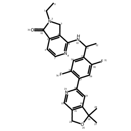 CCN1Cc2c(ccnc2NC(C)c2cc(F)c(-c3cc4c(cn3)COC4(C)C)cc2F)C1=O